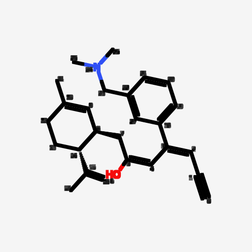 C#C/C=C(\C=C(\O)C[C@@H]1C=C(C)CC[C@H]1C(=C)C)c1cccc(CN(C)C)c1